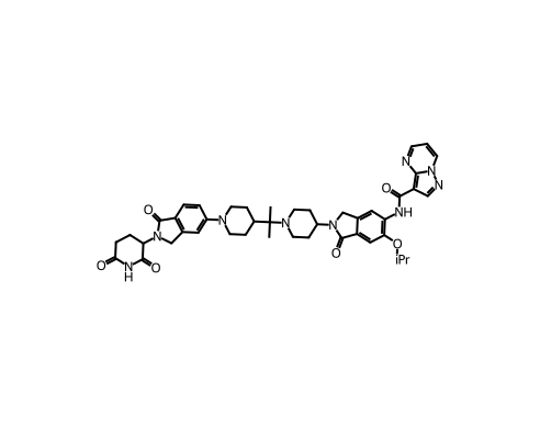 CC(C)Oc1cc2c(cc1NC(=O)c1cnn3cccnc13)CN(C1CCN(C(C)(C)C3CCN(c4ccc5c(c4)CN(C4CCC(=O)NC4=O)C5=O)CC3)CC1)C2=O